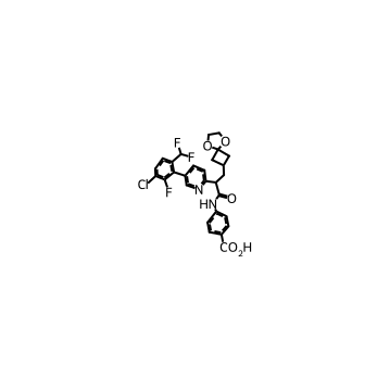 O=C(O)c1ccc(NC(=O)C(CC2CC3(C2)OCCO3)c2ccc(-c3c(C(F)F)ccc(Cl)c3F)cn2)cc1